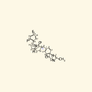 Cc1cn(-c2ccc(/C=C3\CC[C@H]4CC[C@@H](c5ccc(F)cc5F)N4C3=O)cc2C)cn1